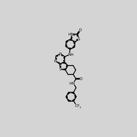 O=C(NCc1cccc(C(F)(F)F)c1)C1CCc2c(sc3ncnc(Nc4ccc5[nH]c(=O)sc5c4)c23)C1